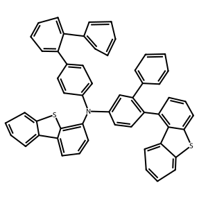 c1ccc(-c2ccccc2-c2ccc(N(c3ccc(-c4cccc5sc6ccccc6c45)c(-c4ccccc4)c3)c3cccc4c3sc3ccccc34)cc2)cc1